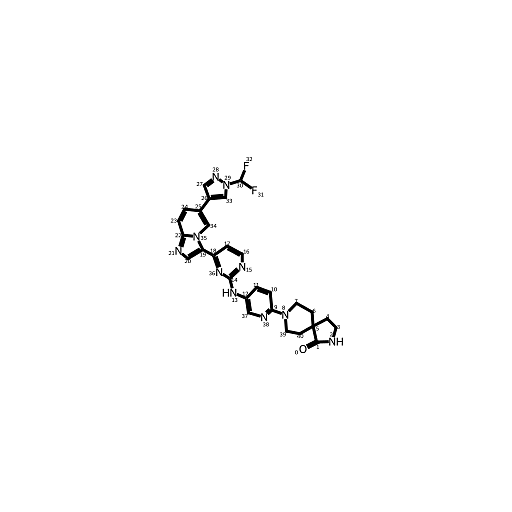 O=C1NCCC12CCN(c1ccc(Nc3nccc(-c4cnc5ccc(-c6cnn(C(F)F)c6)cn45)n3)cn1)CC2